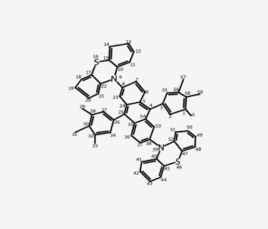 Cc1cc(-c2c3ccc(N4c5ccccc5Sc5ccccc54)cc3c(-c3cc(C)c(C)c(C)c3)c3ccc(N4c5ccccc5Sc5ccccc54)cc23)cc(C)c1C